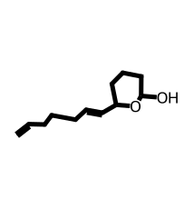 C=CCCCC=CC1CCCC(O)O1